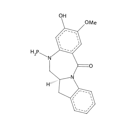 COc1cc2c(cc1O)N(P)C[C@@H]1Cc3ccccc3N1C2=O